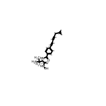 CC(C)(N)[C@H](NC(=O)c1ccc(C#CC#CCC2CC2)cc1)C(=O)NO